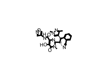 Cc1nn(C)cc1[C@@H](c1ccccc1C#N)[C@H](C)c1nc(C(=O)Nc2cnoc2)c(O)c(=O)n1C